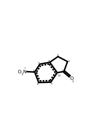 O=C1CCc2cc([N+](=O)[O-])ccc21